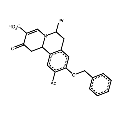 CC(=O)c1cc2c(cc1OCc1ccccc1)CC(C(C)C)N1C=C(C(=O)O)C(=O)CC21